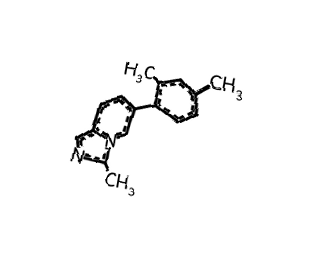 Cc1ccc(-c2ccc3cnc(C)n3c2)c(C)c1